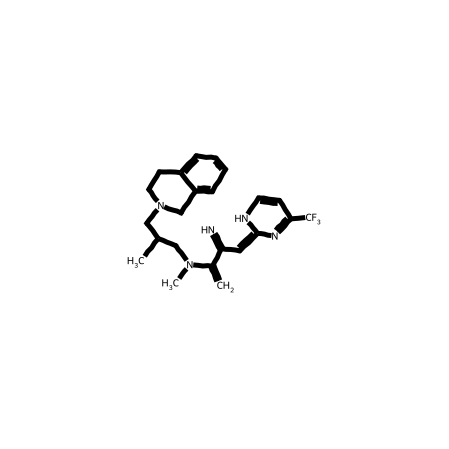 C=C(C(=N)/C=C1/N=C(C(F)(F)F)C=CN1)N(C)CC(C)CN1CCc2ccccc2C1